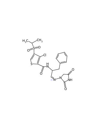 CC(C)S(=O)(=O)c1csc(C(=O)NC(/C=N\N2CC(=O)NC2=O)Cc2ccccc2)c1Cl